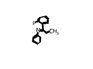 CC/C(=N\c1ccccc1)c1ccccc1F